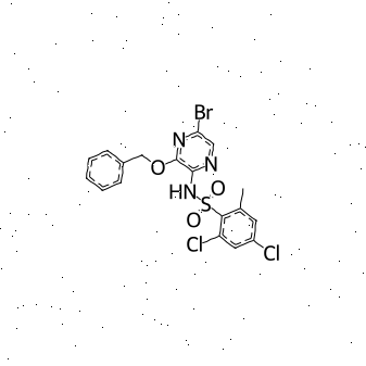 Cc1cc(Cl)cc(Cl)c1S(=O)(=O)Nc1ncc(Br)nc1OCc1ccccc1